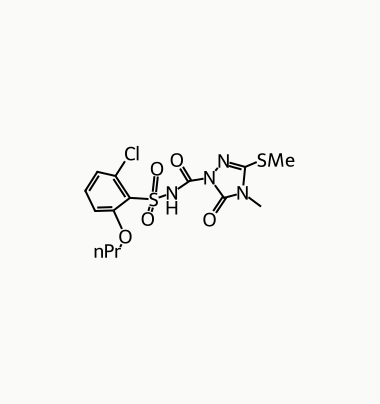 CCCOc1cccc(Cl)c1S(=O)(=O)NC(=O)n1nc(SC)n(C)c1=O